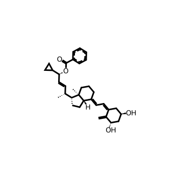 C=C1/C(=C\C=C2/CCC[C@]3(C)[C@@H]([C@H](C)/C=C/[C@@H](OC(=O)c4ccccc4)C4CC4)CC[C@@H]23)C[C@@H](O)C[C@@H]1O